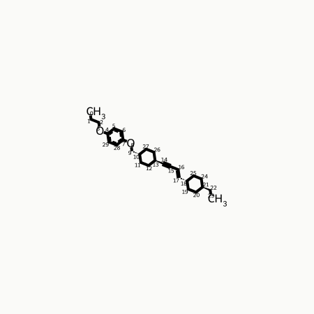 CCCOc1ccc(OC[C@H]2CC[C@H](C#CC=C[C@H]3CC[C@H](CC)CC3)CC2)cc1